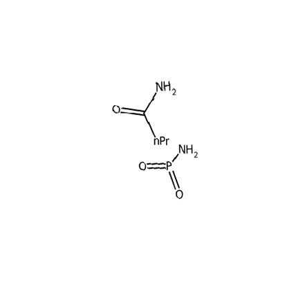 CCCC(N)=O.NP(=O)=O